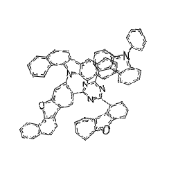 c1ccc(-n2c3ccccc3c3c(-c4nc(-c5cc6c(cc5-n5c7cc8ccccc8cc7c7ccc8ccccc8c75)oc5c7ccccc7ccc65)nc(-c5cccc6oc7ccccc7c56)n4)cccc32)cc1